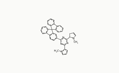 CN1C=CCC1c1nc(-c2ccc3c(c2)C2(c4ccccc4-c4ccccc42)c2ccccc2-3)nc(-c2cccn2C)n1